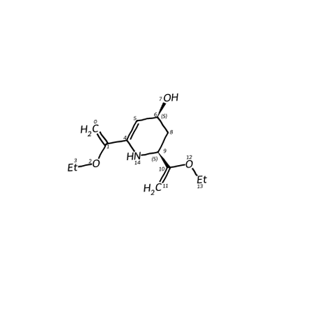 C=C(OCC)C1=C[C@@H](O)C[C@@H](C(=C)OCC)N1